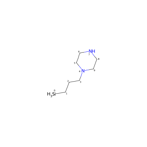 [SiH3]CCCN1CCNCC1